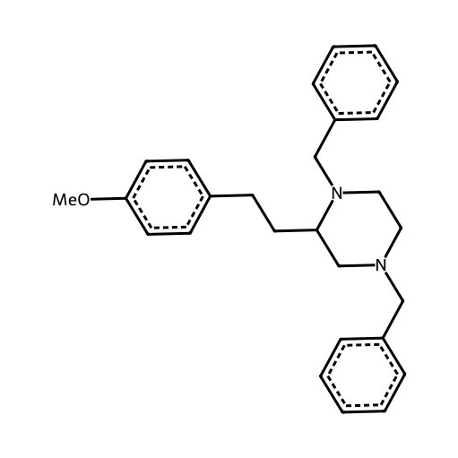 COc1ccc(CCC2CN(Cc3ccccc3)CCN2Cc2ccccc2)cc1